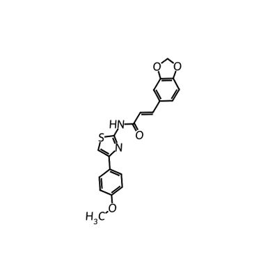 COc1ccc(-c2csc(NC(=O)C=Cc3ccc4c(c3)OCO4)n2)cc1